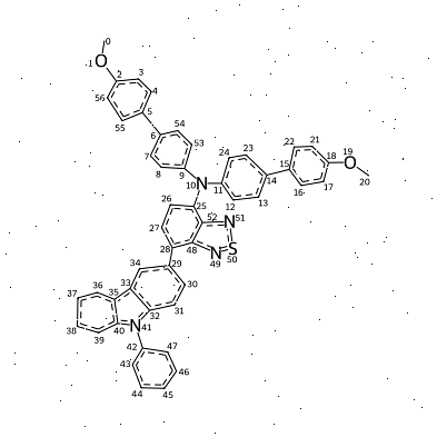 COc1ccc(-c2ccc(N(c3ccc(-c4ccc(OC)cc4)cc3)c3ccc(-c4ccc5c(c4)c4ccccc4n5-c4ccccc4)c4nsnc34)cc2)cc1